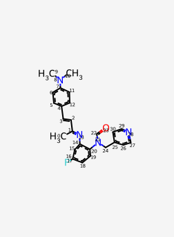 CC(/C=C/c1ccc(N(C)C)cc1)=N\c1cc(F)ccc1N(C=O)Cc1ccncc1